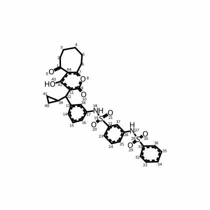 O=C1CCCCCc2oc(=O)c(C(c3cccc(NS(=O)(=O)c4cccc(NS(=O)(=O)c5ccccc5)c4)c3)C3CC3)c(O)c21